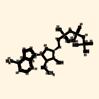 C[Se][C@@H]1[C@H](O)[C@@H](COP(=O)(O)OP(=O)(O)OP(=O)(O)O)O[C@H]1n1cnc2c(N)ncnc21